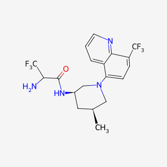 C[C@H]1C[C@@H](NC(=O)C(N)C(F)(F)F)CN(c2ccc(C(F)(F)F)c3ncccc23)C1